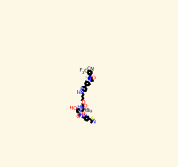 Cc1ncsc1-c1ccc(CNC(=O)[C@@H]2C[C@@H](O)CN2C(=O)C(NC(=O)COCCCCNc2ccc(-c3ccc(N4C(=S)N(c5ccc(C#N)c(C(F)(F)F)c5)C(=O)C4(C)C)cc3)cn2)C(C)(C)C)cc1